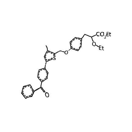 CCOC(=O)C(Cc1ccc(OCc2sc(-c3ccc(C(=O)c4ccccc4)cc3)cc2C)cc1)OCC